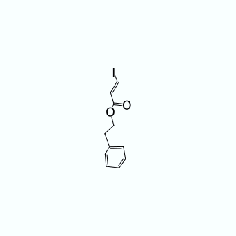 O=C(/C=C/I)OCCc1ccccc1